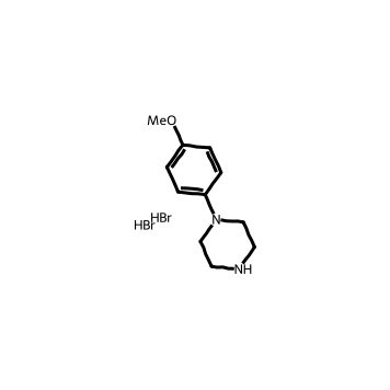 Br.Br.COc1ccc(N2CCNCC2)cc1